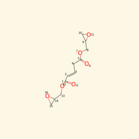 O=C(C=CCC(=O)OCC1CO1)OCC1CO1